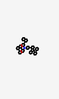 c1ccc(-c2cccc3cccc(-c4ccccc4N(c4ccc(-c5cccc6c5-c5ccccc5C6(c5ccccc5)c5ccccc5)cc4)c4cccc(-c5cccc6ccccc56)c4)c23)cc1